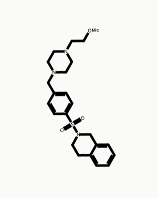 COCCN1CCN(Cc2ccc(S(=O)(=O)N3CCc4ccccc4C3)cc2)CC1